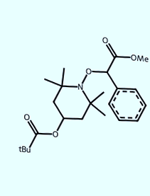 COC(=O)C(ON1C(C)(C)CC(OC(=O)C(C)(C)C)CC1(C)C)c1ccccc1